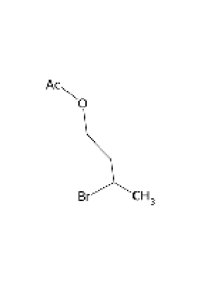 CC(=O)OCCC(C)Br